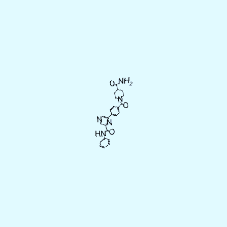 NC(=O)C1CCN(C(=O)c2ccc(-c3cncc(C(=O)Nc4ccccc4)n3)cc2)CC1